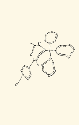 CC(=O)N/C(=C(/[S-])Sc1ccc(Cl)cc1)[P+](c1ccccc1)(c1ccccc1)c1ccccc1